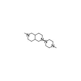 CN1CCN(N2CCC3CN(C)CCC3C2)CC1